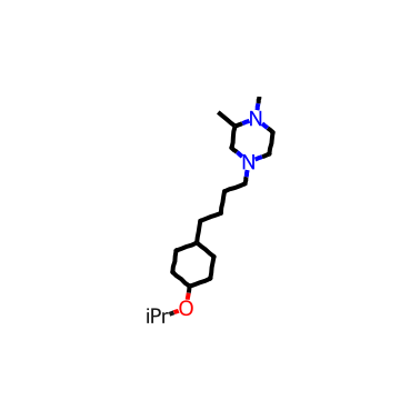 CC(C)OC1CCC(CCCCN2CCN(C)C(C)C2)CC1